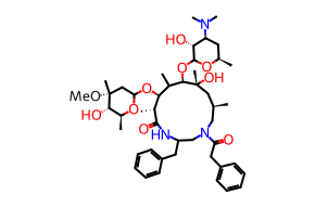 CO[C@]1(C)CC(O[C@H]2C(C)[C@@H](OC3O[C@H](C)C[C@H](N(C)C)[C@H]3O)[C@](C)(O)C[C@@H](C)CN(C(=O)Cc3ccccc3)CC(Cc3ccccc3)NC(=O)[C@@H]2C)O[C@@H](C)[C@@H]1O